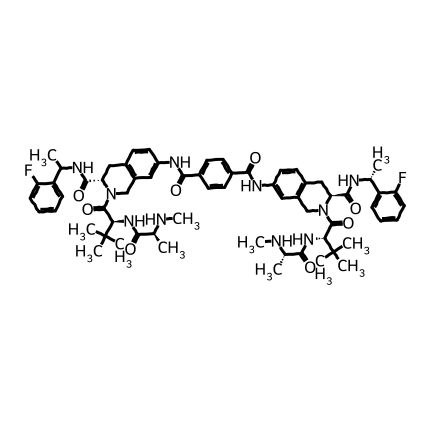 CN[C@@H](C)C(=O)N[C@H](C(=O)N1Cc2cc(NC(=O)c3ccc(C(=O)Nc4ccc5c(c4)CN(C(=O)[C@@H](NC(=O)[C@H](C)NC)C(C)(C)C)[C@H](C(=O)N[C@H](C)c4ccccc4F)C5)cc3)ccc2C[C@H]1C(=O)NC(C)c1ccccc1F)C(C)(C)C